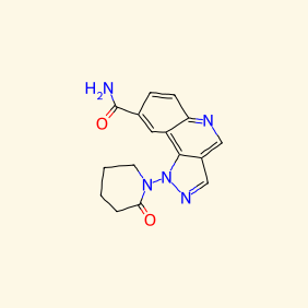 NC(=O)c1ccc2ncc3cnn(N4CCCCC4=O)c3c2c1